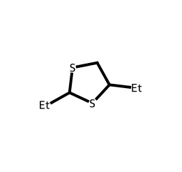 CCC1CSC(CC)S1